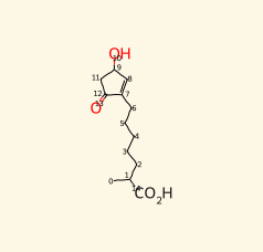 CC(CCCCCC1=CC(O)CC1=O)C(=O)O